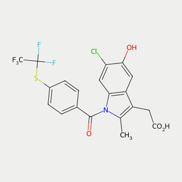 Cc1c(CC(=O)O)c2cc(O)c(Cl)cc2n1C(=O)c1ccc(SC(F)(F)C(F)(F)F)cc1